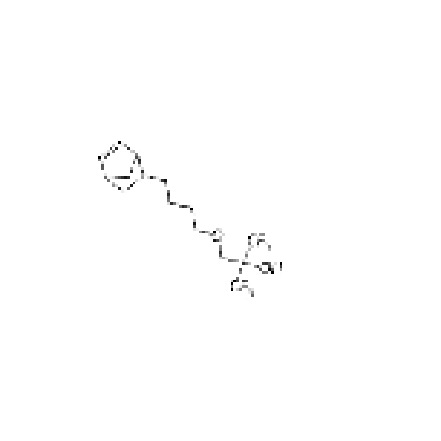 OC(COCCCCC1CC2C=CC1C2)(C(F)(F)F)C(F)(F)F